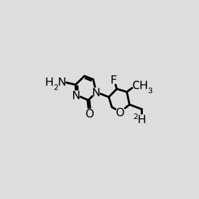 [2H]CC1OCC(n2ccc(N)nc2=O)C(F)C1C